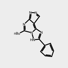 CCCCc1nc2nncc-2c2nc(-c3ccccc3)[nH]n12